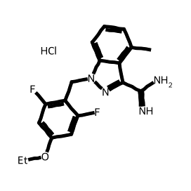 CCOc1cc(F)c(Cn2nc(C(=N)N)c3c(C)cccc32)c(F)c1.Cl